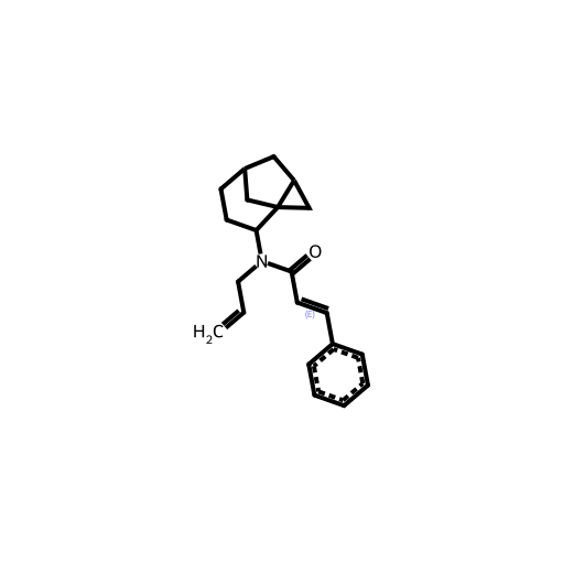 C=CCN(C(=O)/C=C/c1ccccc1)C1CCC2CC3CC31C2